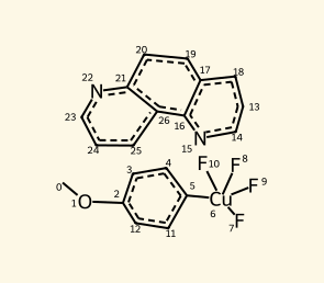 COc1cc[c]([Cu]([F])([F])([F])[F])cc1.c1cnc2c(c1)ccc1ncccc12